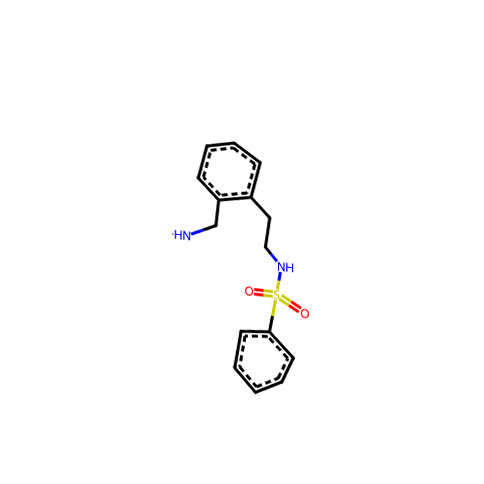 [NH]Cc1ccccc1CCNS(=O)(=O)c1ccccc1